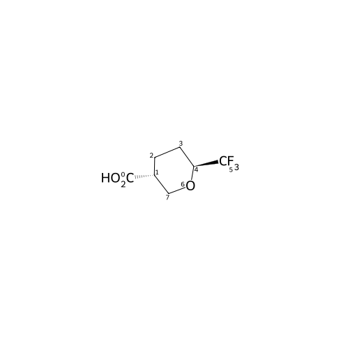 O=C(O)[C@@H]1CC[C@@H](C(F)(F)F)OC1